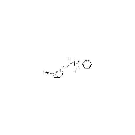 CC(C)(CCCN1CC2CC(C#N)C1C2)S(=O)(=O)c1ccccc1